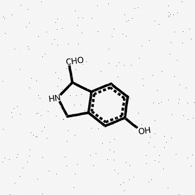 O=CC1NCc2cc(O)ccc21